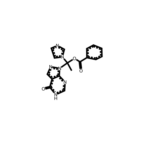 CC(OC(=O)c1ccccc1)(n1ccnc1)n1ncc2c(=O)[nH]cnc21